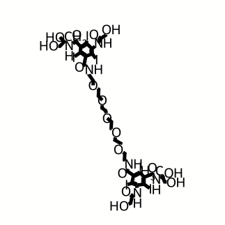 CC(O)(CO)NC(=O)c1c(I)c(NC(=O)CO)c(I)c(C(=O)NCCOCCOCCOCCOCCOCCNC(=O)c2c(I)c(NC(=O)CO)c(I)c(C(=O)NC(C)(O)CO)c2I)c1I